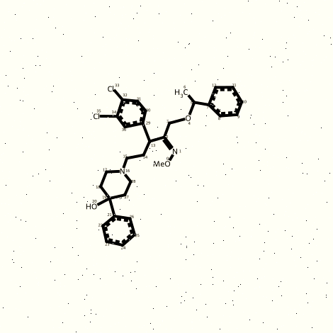 CON=C(COC(C)c1ccccc1)C(CCN1CCC(O)(c2ccccc2)CC1)c1ccc(Cl)c(Cl)c1